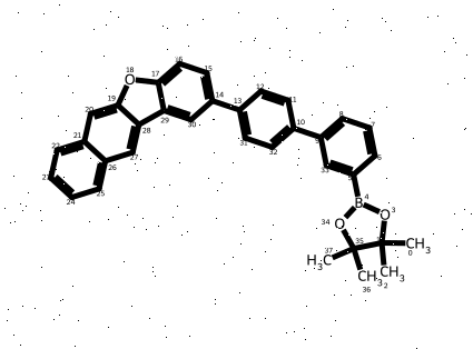 CC1(C)OB(c2cccc(-c3ccc(-c4ccc5oc6cc7ccccc7cc6c5c4)cc3)c2)OC1(C)C